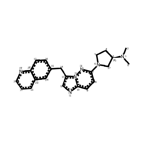 CN(C)[C@@H]1CCN(c2ccc3ncc(Cc4ccc5ncccc5c4)n3n2)C1